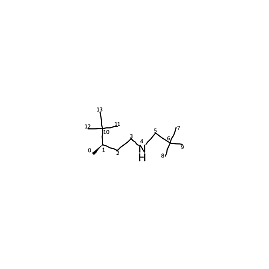 C[C@H](CCNCC(C)(C)C)C(C)(C)C